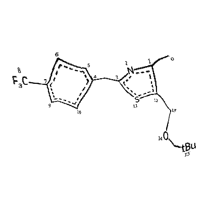 Cc1nc(-c2ccc(C(F)(F)F)cc2)sc1COC(C)(C)C